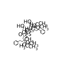 CC(C)(C)OC(=O)C(C)(CCc1ccccc1)CC(SC(=S)SC(CC(C)(CCc1ccccc1)C(=O)OC(C)(C)C)C(=O)OCCO)C(=O)OCCO